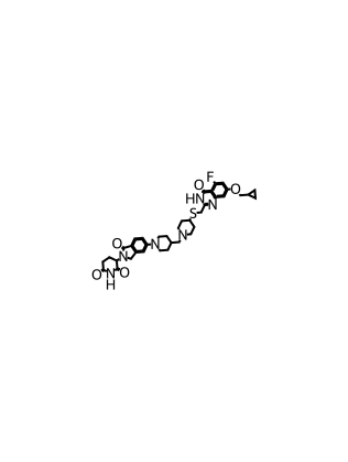 O=C1CCC(N2Cc3cc(N4CCC(CN5CCC(SCc6nc7cc(OCC8CC8)cc(F)c7c(=O)[nH]6)CC5)CC4)ccc3C2=O)C(=O)N1